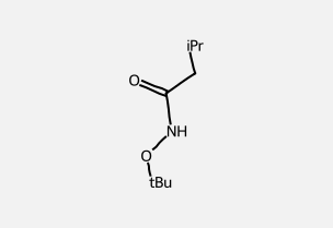 CC(C)CC(=O)NOC(C)(C)C